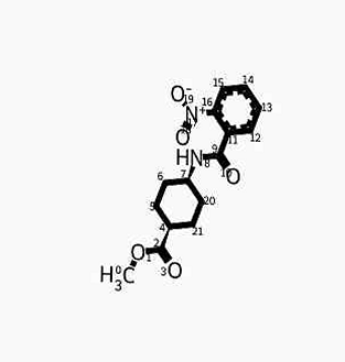 COC(=O)[C@H]1CC[C@@H](NC(=O)c2ccccc2[N+](=O)[O-])CC1